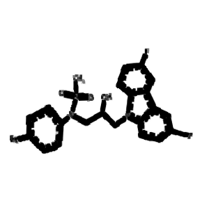 CCc1ccc(N(CC(O)Cn2c3ccc(F)cc3c3cc(F)ccc32)S(C)(=O)=O)cc1